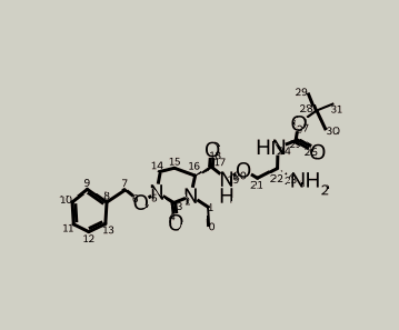 CCN1C(=O)N(OCc2ccccc2)CC[C@H]1C(=O)NOC[C@@H](N)NC(=O)OC(C)(C)C